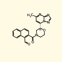 Cc1cc([C@H]2CN(C(=O)c3ccc4ccccc4c3C=O)CCO2)n2ncnc2n1